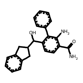 NC(=O)c1ccc(C(O)C2Cc3ccccc3C2)c(-c2ccccc2)c1N